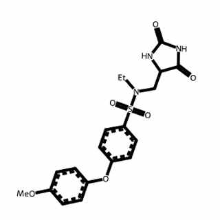 CCN(CC1NC(=O)NC1=O)S(=O)(=O)c1ccc(Oc2ccc(OC)cc2)cc1